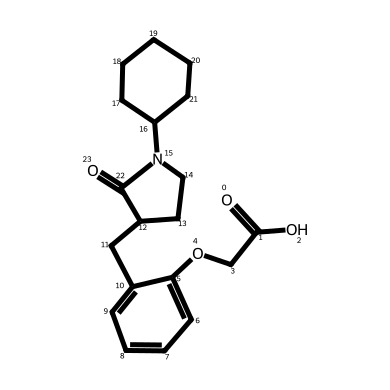 O=C(O)COc1ccccc1CC1CCN(C2CCCCC2)C1=O